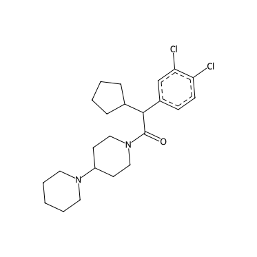 O=C(C(c1ccc(Cl)c(Cl)c1)C1CCCC1)N1CCC(N2CCCCC2)CC1